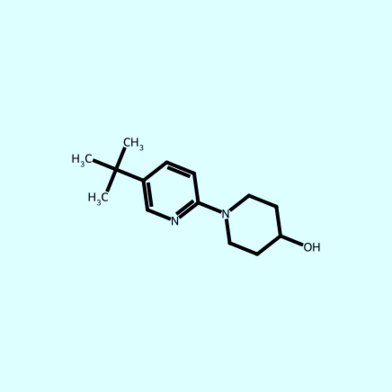 CC(C)(C)c1ccc(N2CCC(O)CC2)nc1